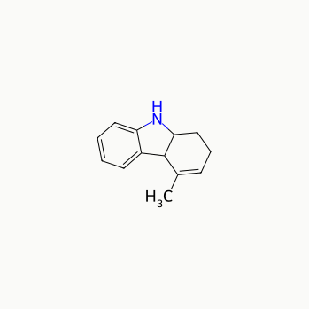 CC1=CCCC2Nc3ccccc3C12